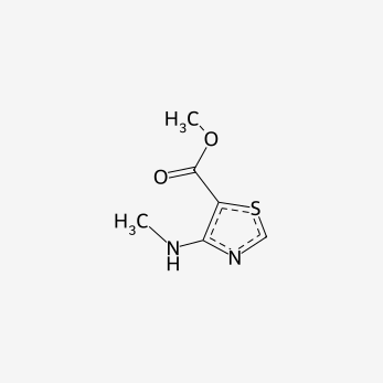 CNc1ncsc1C(=O)OC